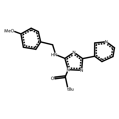 COc1ccc(CNc2nc(-c3cccnc3)nn2C(=O)C(C)(C)C)cc1